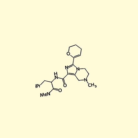 CNC(=O)C(CC(C)C)NC(=O)c1nc(C2=CCCCO2)n2c1CN(C)CC2